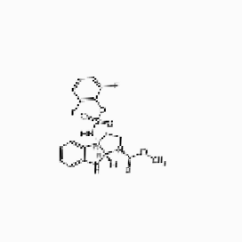 COC(=O)N1CC[C@]2(NS(=O)(=O)Oc3c(F)cccc3F)c3ccccc3N[C@@H]12